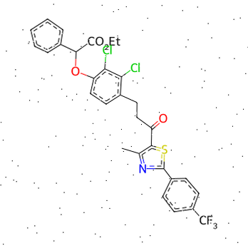 CCOC(=O)C(Oc1ccc(CCC(=O)c2sc(-c3ccc(C(F)(F)F)cc3)nc2C)c(Cl)c1Cl)c1ccccc1